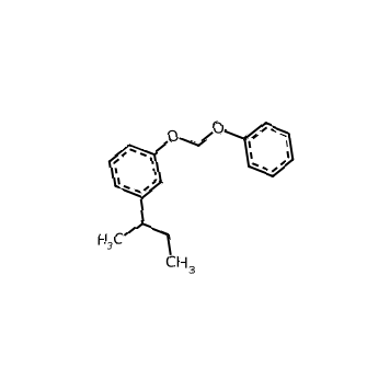 CCC(C)c1cccc(OCOc2ccccc2)c1